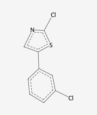 Clc1cccc(-c2cnc(Cl)s2)c1